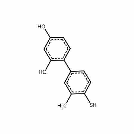 Cc1cc(-c2ccc(O)cc2O)ccc1S